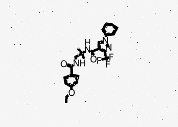 CCOc1ccc(C(=O)NCC(C)(C)NC(=O)c2cn(-c3ccccc3)nc2C(F)(F)F)cc1